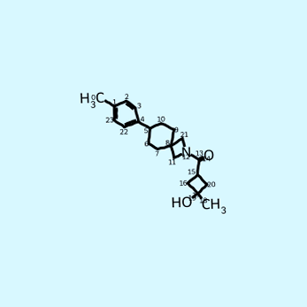 Cc1ccc(C2CCC3(CC2)CN(C(=O)C2CC(C)(O)C2)C3)cc1